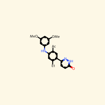 CCc1cc(Nc2cc(OC)cc(OC)c2)c(C(C)=O)cc1-c1ccc(=O)[nH]n1